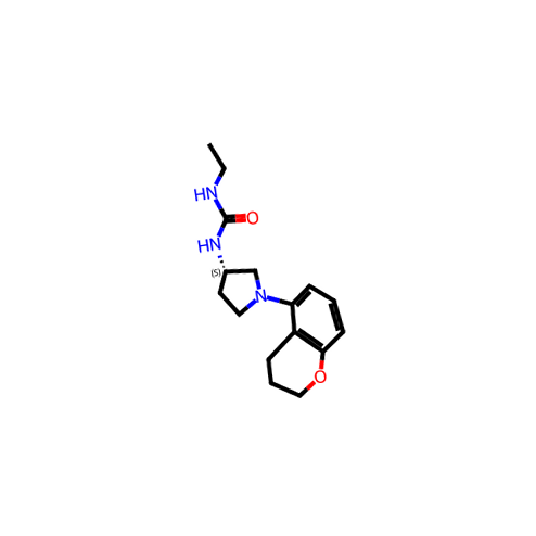 CCNC(=O)N[C@H]1CCN(c2cccc3c2CCCO3)C1